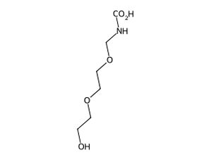 O=C(O)NCOCCOCCO